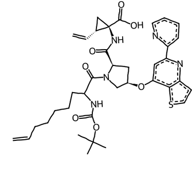 C=CCCCCCC(NC(=O)OC(C)(C)C)C(=O)N1C[C@H](Oc2cc(-c3ccccn3)nc3ccsc23)C[C@@H]1C(=O)N[C@]1(C(=O)O)C[C@H]1C=C